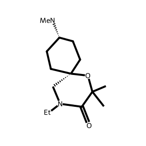 CCN1C[C@]2(CC[C@@H](NC)CC2)OC(C)(C)C1=O